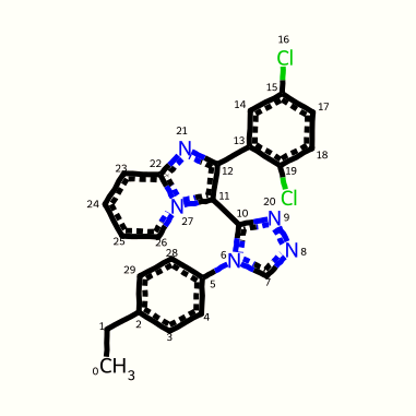 CCc1ccc(-n2cnnc2-c2c(-c3cc(Cl)ccc3Cl)nc3ccccn23)cc1